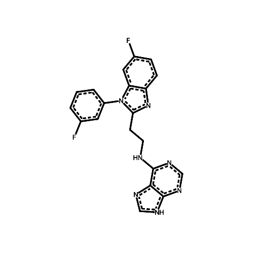 Fc1cccc(-n2c(CCNc3ncnc4[nH]cnc34)nc3ccc(F)cc32)c1